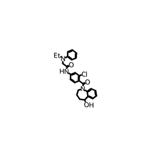 CCN(CC(=O)Nc1ccc(C(=O)N2CCCC(O)c3ccccc32)c(Cl)c1)c1ccccc1